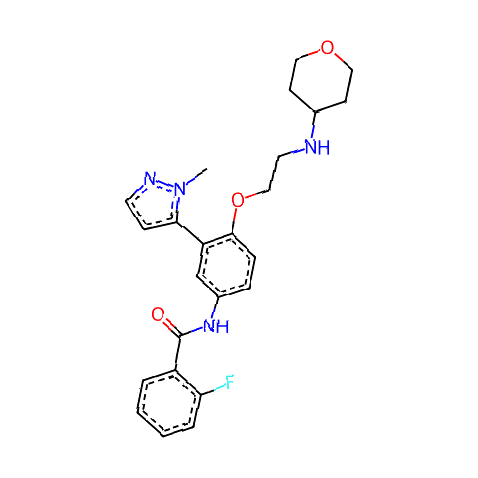 Cn1nccc1-c1cc(NC(=O)c2ccccc2F)ccc1OCCNC1CCOCC1